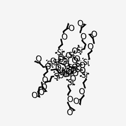 C[Si](C)(CCCOCC1CO1)O[Si]12O[Si]3(O[Si](C)(C)CCCOCC4CO4)O[Si]4(O[Si](C)(C)CCCOCC5CO5)O[Si](O[Si](C)(C)CCCOCC5CO5)(O1)O[Si]1(O[Si](C)(C)CCCOCC5CO5)O[Si](O[Si](C)(C)CCCOCC5CO5)(O2)O[Si](O[Si](C)(C)CCCOCC2CO2)(O3)O[Si](O[Si](C)(C)CCCOCC2CO2)(O4)O1